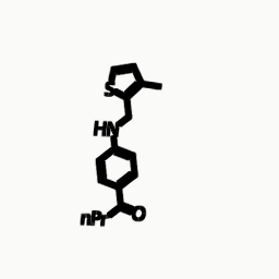 CCCC(=O)c1ccc(NCc2sccc2C)cc1